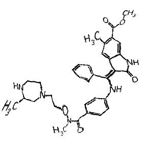 COC(=O)c1cc2c(cc1C)/C(=C(/Nc1ccc(C(=O)N(C)OCCN3CCN[C@H](C)C3)cc1)c1ccccc1)C(=O)N2